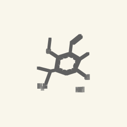 C=Cc1c(C)c(Cl)cc(C(C)N)c1OC.Cl